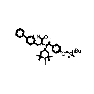 CCCC[Si](C)(C)COc1ccc(C(=O)N(C2CC(C)(C)NC(C)(C)C2)[C@@H](Cc2ccc(-c3ccccc3)cc2)C(N)=O)cc1